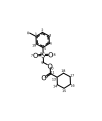 Cc1cccc(S(=O)(=O)COC(=O)C2CCCCC2)c1